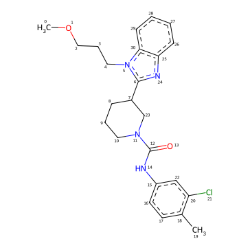 COCCCn1c(C2CCCN(C(=O)Nc3ccc(C)c(Cl)c3)C2)nc2ccccc21